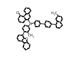 Cc1ccc2cccc(-c3ccc(-c4ccc(N(c5ccc(-c6cccc7c6oc6ccccc67)c(C)c5)c5cc6ccccc6c6c(Cl)cccc56)cc4)cc3)c2c1